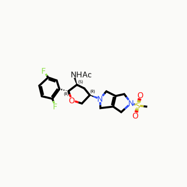 CC(=O)N[C@H]1C[C@@H](N2CC3=C(C2)CN(S(C)(=O)=O)C3)CO[C@@H]1c1cc(F)ccc1F